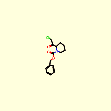 O=C(CCl)C1CCCCN1C(=O)OCc1ccccc1